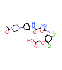 CC(=O)N1CCN(c2ccc(NC(=O)c3nnc(Nc4cc(OCC(=O)O)c(Cl)cc4F)o3)cc2)CC1